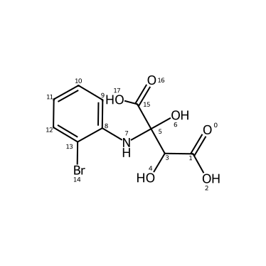 O=C(O)C(O)C(O)(Nc1ccccc1Br)C(=O)O